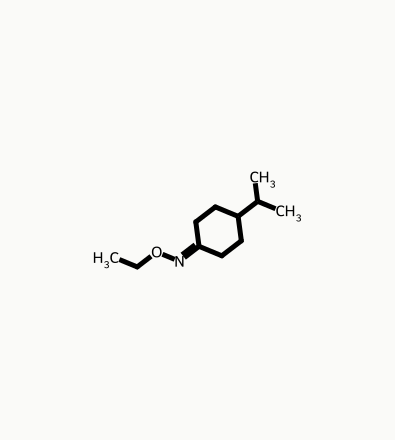 CCON=C1CCC(C(C)C)CC1